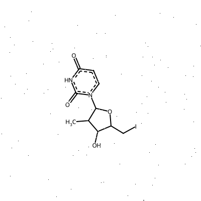 CC1C(O)C(CI)OC1n1ccc(=O)[nH]c1=O